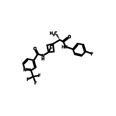 C[C@H](C(=O)Nc1ccc(F)cc1)C12CC(NC(=O)c3ccnc(C(F)(F)F)c3)(C1)C2